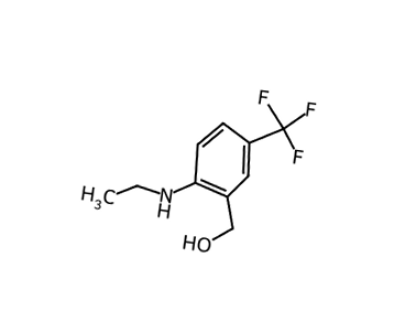 CCNc1ccc(C(F)(F)F)cc1CO